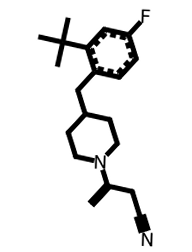 C=C(CC#N)N1CCC(Cc2ccc(F)cc2C(C)(C)C)CC1